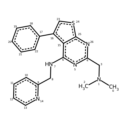 CN(C)Cc1nc(NCc2ccccn2)c2c(-c3ccccc3)csc2n1